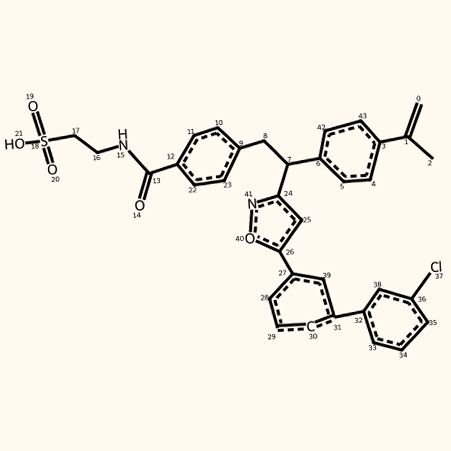 C=C(C)c1ccc(C(Cc2ccc(C(=O)NCCS(=O)(=O)O)cc2)c2cc(-c3cccc(-c4cccc(Cl)c4)c3)on2)cc1